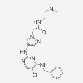 CN(C)CCNC(=O)Cn1cc(Nc2ncc(Cl)c(NCc3ccccc3)n2)cn1